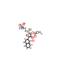 CC(=O)Oc1c(C(Br)CCN[SH](=O)=O)oc(-c2ccc3ccccc3c2)c1O